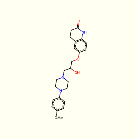 COc1ccc(N2CCN(CC(O)COc3ccc4c(c3)CCC(=O)N4)CC2)cc1